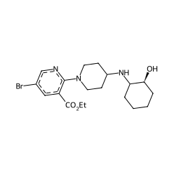 CCOC(=O)c1cc(Br)cnc1N1CCC(NC2CCCC[C@@H]2O)CC1